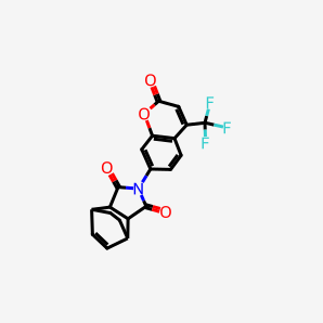 O=C1C2C3C=CC(CC3)C2C(=O)N1c1ccc2c(C(F)(F)F)cc(=O)oc2c1